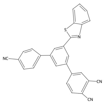 N#Cc1ccc(-c2cc(-c3ccc(C#N)c(C#N)c3)cc(-c3nc4ccccc4s3)c2)cc1